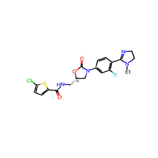 CCN1CCN=C1c1ccc(N2C[C@H](CNC(=O)c3ccc(Cl)s3)OC2=O)cc1F